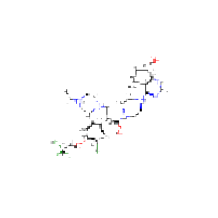 CCN1CCN(C[C@@H](C(=O)N2CCN(c3ncnc4c3[C@H](C)C[C@H]4O)CC2)c2ccc(OCC(F)(F)F)c(F)c2)CC1